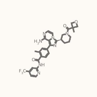 Cc1cc(-c2nc([C@@H]3CCCN(C(=O)C4(C)COC4)C3)n3ccnc(N)c23)ccc1C(=O)Nc1cc(C(F)(F)F)ccn1